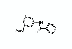 COc1cncc(NC(=O)c2ccccc2)c1